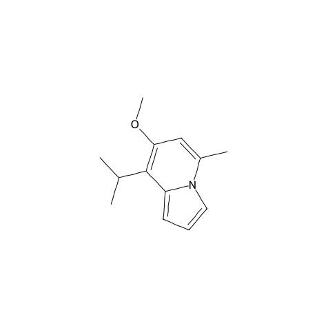 COc1cc(C)n2cccc2c1C(C)C